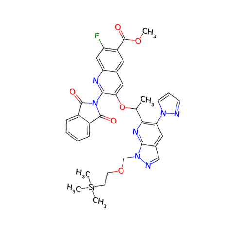 COC(=O)c1cc2cc(OC(C)c3nc4c(cnn4COCC[Si](C)(C)C)cc3-n3cccn3)c(N3C(=O)c4ccccc4C3=O)nc2cc1F